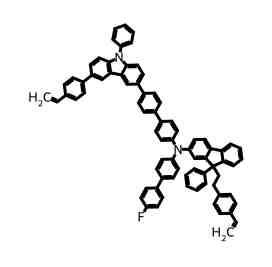 C=Cc1ccc(CCC2(c3ccccc3)c3ccccc3-c3ccc(N(c4ccc(-c5ccc(F)cc5)cc4)c4ccc(-c5ccc(-c6ccc7c(c6)c6cc(-c8ccc(C=C)cc8)ccc6n7-c6ccccc6)cc5)cc4)cc32)cc1